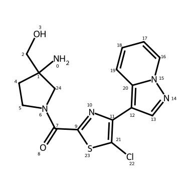 NC1(CO)CCN(C(=O)c2nc(-c3cnn4ccccc34)c(Cl)s2)C1